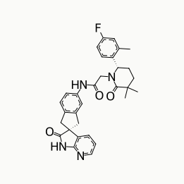 Cc1cc(F)ccc1[C@@H]1CCC(C)(C)C(=O)N1CC(=O)Nc1ccc2c(c1)C[C@@]1(C2)C(=O)Nc2ncccc21